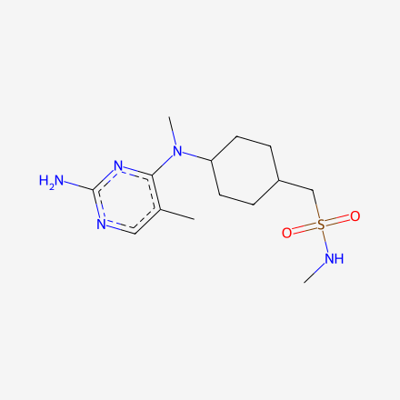 CNS(=O)(=O)CC1CCC(N(C)c2nc(N)ncc2C)CC1